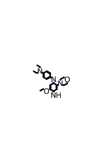 CCOC1=C/C(=N\c2ccc(N(CC)CC)cc2)C(N2CCOCC2)=CC1=N